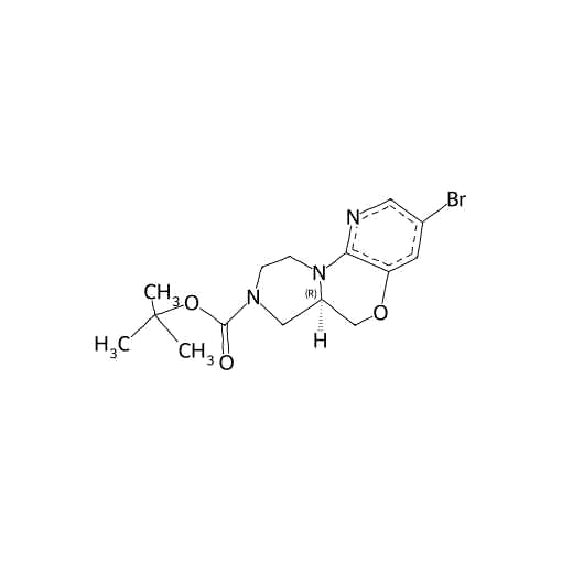 CC(C)(C)OC(=O)N1CCN2c3ncc(Br)cc3OC[C@H]2C1